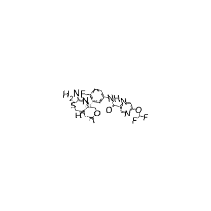 C[C@H]1C[C@H]2CSC(N)=N[C@@]2(c2cc(NC(=O)c3cnc(OC(F)F)cn3)ccc2F)CO1